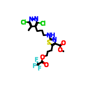 COC(=O)c1nc(NCCCc2c(Cl)nnc(Cl)c2C)sc1CCCOC(=O)C(F)(F)F